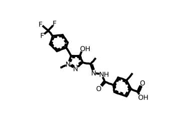 C/C(=N\NC(=O)c1ccc(C(=O)O)c(C)c1)c1nn(C)c(-c2ccc(C(F)(F)F)cc2)c1O